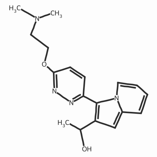 CC(O)c1cc2ccccn2c1-c1ccc(OCCN(C)C)nn1